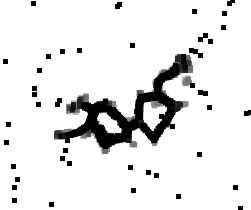 Cc1nc(N2CCO[C@H](CO)C2)ncc1Br